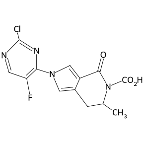 CC1Cc2cn(-c3nc(Cl)ncc3F)cc2C(=O)N1C(=O)O